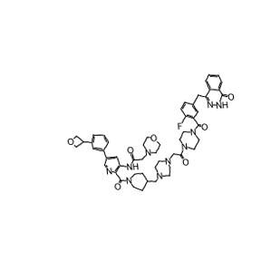 O=C(CN1CCOCC1)Nc1cc(-c2cccc(C3COC3)c2)cnc1C(=O)N1CCC(CN2CCN(CC(=O)N3CCN(C(=O)c4cc(Cc5n[nH]c(=O)c6ccccc56)ccc4F)CC3)CC2)CC1